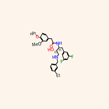 CCCOc1ccc(CC(=O)N[C@@H](Cc2cc(F)cc(F)c2)[C@@H](O)CNCc2cccc(CC)c2)cc1OC